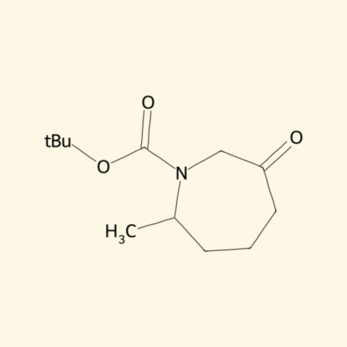 CC1CCCC(=O)CN1C(=O)OC(C)(C)C